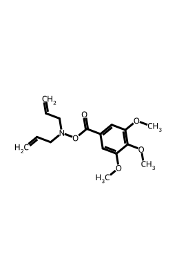 C=CCN(CC=C)OC(=O)c1cc(OC)c(OC)c(OC)c1